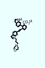 O=C(O)c1cccc(C#Cc2ccc3ccn(CCCN4CCOCC4)c3c2)c1-c1ccc2cc[nH]c2c1